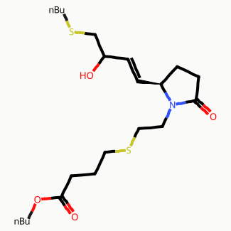 CCCCOC(=O)CCCSCCN1C(=O)CC[C@@H]1/C=C/C(O)CSCCCC